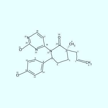 C=CC[C@@]1(C)CCC(c2ccc(Cl)cc2)N(c2ccnc(Cl)n2)C1=O